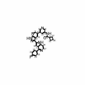 O=C(Nc1cncc(-c2cnc3[nH]nc(-c4cc5c(-c6ccc(F)cc6)nccc5[nH]4)c3c2)c1)C1CCC1